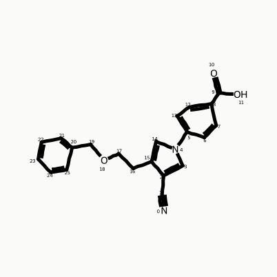 N#Cc1cn(-c2ccc(C(=O)O)cc2)cc1CCOCc1ccccc1